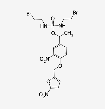 CC(OP(=O)(NCCBr)NCCBr)c1ccc(OCc2ccc([N+](=O)[O-])o2)c([N+](=O)[O-])c1